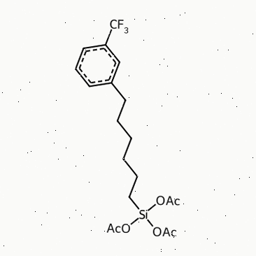 CC(=O)O[Si](CCCCCCc1cccc(C(F)(F)F)c1)(OC(C)=O)OC(C)=O